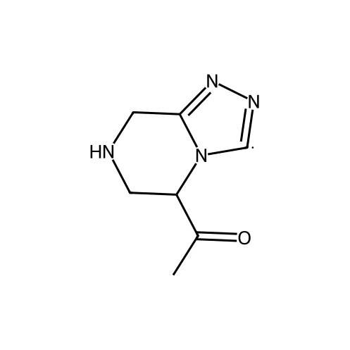 CC(=O)C1CNCc2nn[c]n21